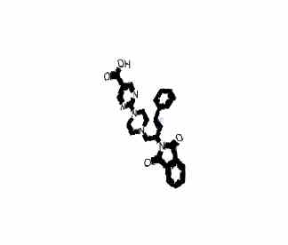 O=C(O)c1cnc(N2CCN(CC(/C=C/c3ccccc3)N3C(=O)c4ccccc4C3=O)CC2)nc1